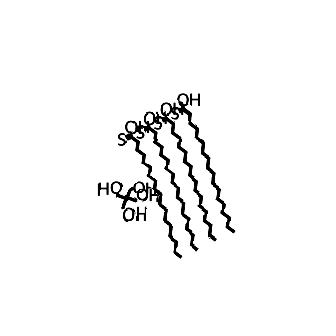 CCCCCCCCCCCCCCCCCC(O)=S.CCCCCCCCCCCCCCCCCC(O)=S.CCCCCCCCCCCCCCCCCC(O)=S.CCCCCCCCCCCCCCCCCC(O)=S.OCC(CO)(CO)CO